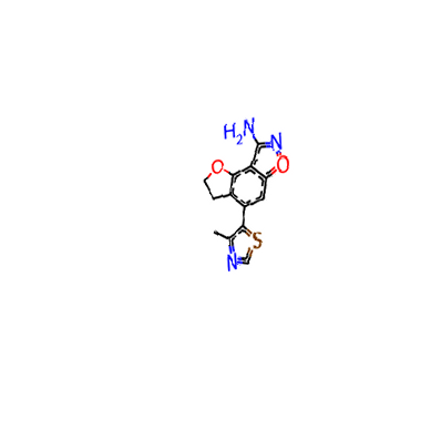 Cc1ncsc1-c1cc2onc(N)c2c2c1CCO2